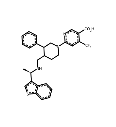 C[C@@H](NCC1CCN(c2cc(C(F)(F)F)c(C(=O)O)cn2)CC1c1ccccc1)c1csc2ccccc12